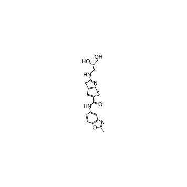 Cc1nc2cc(NC(=O)c3cc4sc(NCC(O)CO)nc4s3)ccc2o1